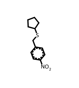 O=[N+]([O-])c1ccc(CSC2CCCC2)cc1